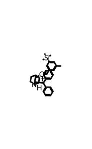 Cc1cc(CO[C@@H]2C3CCN(CC3)[C@@H]2C(c2ccccc2)c2ccccc2)cc([Si](C)(C)C)c1